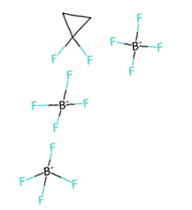 FC1(F)CC1.F[B-](F)(F)F.F[B-](F)(F)F.F[B-](F)(F)F